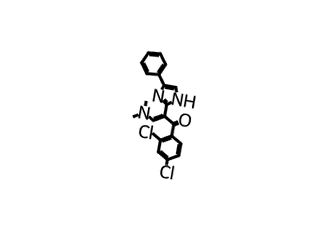 CN(C)C=C(C(=O)c1ccc(Cl)cc1Cl)c1nc(-c2ccccc2)c[nH]1